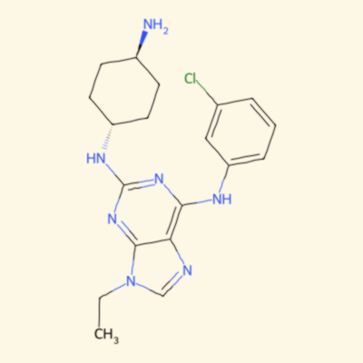 CCn1cnc2c(Nc3cccc(Cl)c3)nc(N[C@H]3CC[C@H](N)CC3)nc21